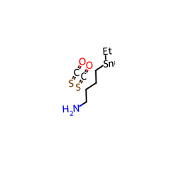 C[CH2][Sn][CH2]CCCN.O=C=S.O=C=S